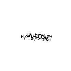 CC(C)(C)OC(=O)CNc1ccc2sc(B(O)O)cc2c1